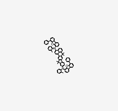 Cc1ccccc1N(c1ccc2c(c1)C(C)(C)c1cc3c(cc1-2)C(C)(C)c1cccc2c(N(c4ccccc4C)c4cccc5c4oc4c(-c6ccccc6)cccc45)ccc-3c12)c1cccc2c1oc1c(-c3ccccc3)cccc12